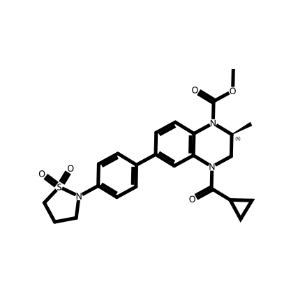 COC(=O)N1c2ccc(-c3ccc(N4CCCS4(=O)=O)cc3)cc2N(C(=O)C2CC2)C[C@@H]1C